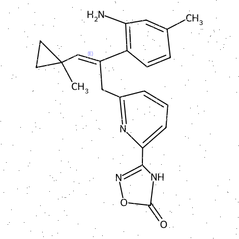 Cc1ccc(/C(=C/C2(C)CC2)Cc2cccc(-c3noc(=O)[nH]3)n2)c(N)c1